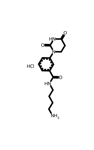 Cl.NCCCCNC(=O)c1cccc(N2CCC(=O)NC2=O)c1